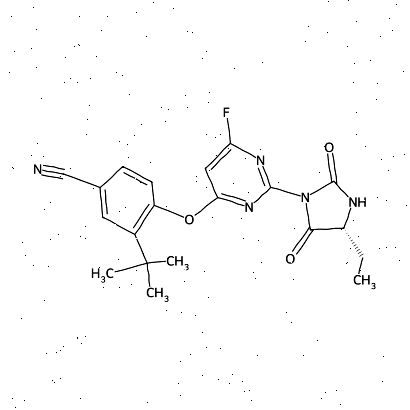 CC[C@H]1NC(=O)N(c2nc(F)cc(Oc3ccc(C#N)cc3C(C)(C)C)n2)C1=O